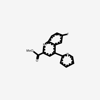 COC(=O)c1cc(-c2ccccn2)c2cc(F)ccc2n1